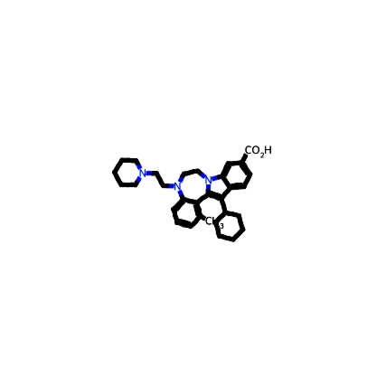 Cc1cccc2c1-c1c(C3CCCCC3)c3ccc(C(=O)O)cc3n1CCN2CCN1CCCCC1